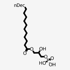 CCCCCCCCCCCCCCCCCCCCC(=O)OCC(O)COP(=O)(O)O